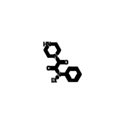 CCN(C(=O)C(=O)N1CCNCC1)c1ccccc1